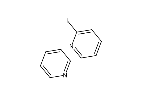 Ic1ccccn1.c1ccncc1